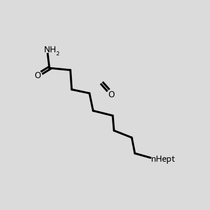 C=O.CCCCCCCCCCCCCCCC(N)=O